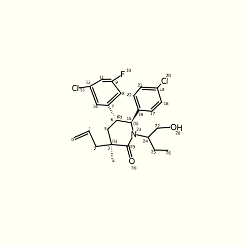 C=CC[C@@]1(C)C[C@H](c2cc(F)cc(Cl)c2)[C@@H](c2ccc(Cl)cc2)N(C(CC)CO)C1=O